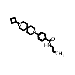 C=CCNC(=O)c1ccc(N2CCC3(CC2)CCN(C2CCC2)CC3)cc1